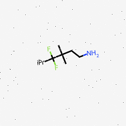 CC(C)C(F)(F)C(C)(C)CCN